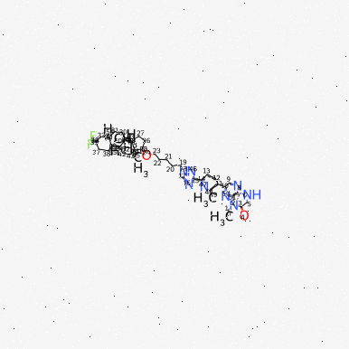 CCN1C(=O)CNc2ncc(-c3ccc(-c4ncn(CCCCCO[C@H]5CC[C@H]6[C@@H]7CC[C@H]8CC(F)(F)CC[C@]8(C)[C@H]7CC[C@]56C)n4)nc3C)nc21